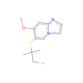 COc1cc2nccn2cc1SC(C)(C)CF